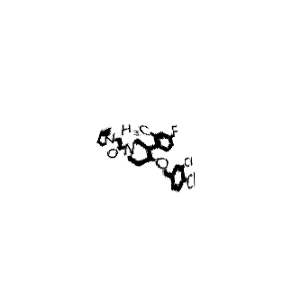 Cc1cc(F)ccc1C1CN(C(=O)CN2CCCC2)CCC1OCc1ccc(Cl)c(Cl)c1